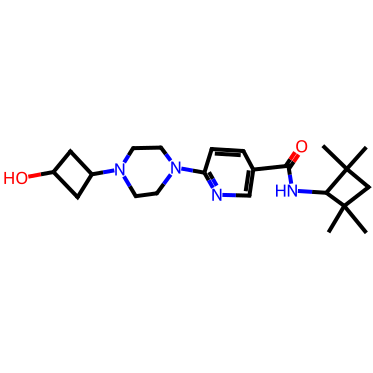 CC1(C)CC(C)(C)C1NC(=O)c1ccc(N2CCN(C3CC(O)C3)CC2)nc1